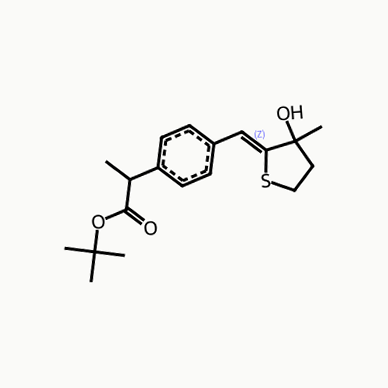 CC(C(=O)OC(C)(C)C)c1ccc(/C=C2\SCCC2(C)O)cc1